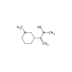 C=C(C1CCCN(C)C1)N(C)S